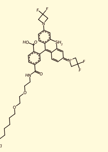 O=C(NCCOCCOCCCCCCCl)c1ccc(C(=O)O)c(C2=C3C=CC(=[N+]4CC(F)(F)C4)C=C3[SiH2]c3cc(N4CC(F)(F)C4)ccc32)c1